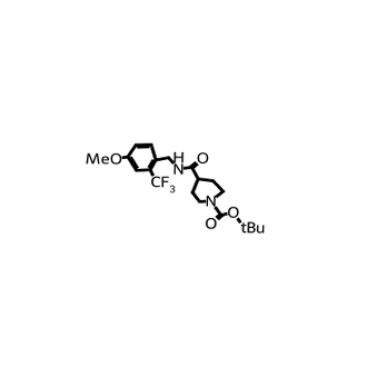 COc1ccc(CNC(=O)C2CCN(C(=O)OC(C)(C)C)CC2)c(C(F)(F)F)c1